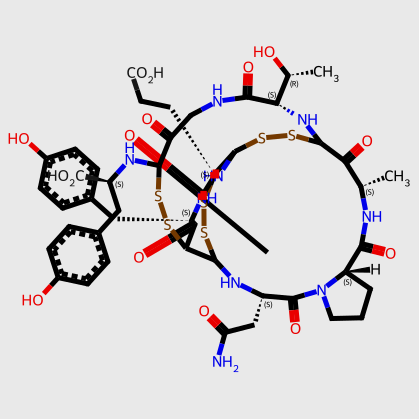 C[C@@H]1NC(=O)[C@@H]2CCCN2C(=O)[C@H](CC(N)=O)NC2SSCC3N[C@@H](CCC(=O)O)C(=O)N[C@@H](Cc4ccc(O)cc4)C(=O)C2SSC(N[C@@H](Cc2ccc(O)cc2)C(=O)O)C(=O)CNC(=O)[C@H]([C@@H](C)O)NC(SS3)C1=O